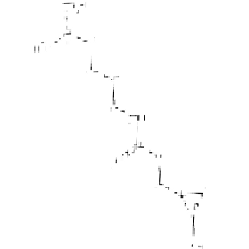 CC1=CC1COC(=O)NCCCC[C@H](C)C(=O)O